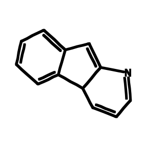 C1=CC2C(=Cc3ccccc32)N=C1